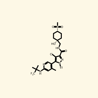 CCn1nc(C(=O)NC[C@]2(O)CC[C@@H](S(C)(=O)=O)CC2)c(Cl)c1-c1cnc(NC(C)(C)C(F)(F)F)cc1C